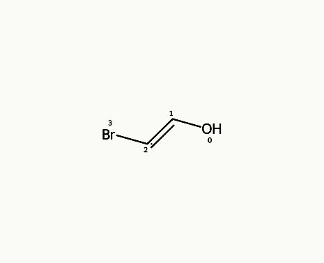 OC=[C]Br